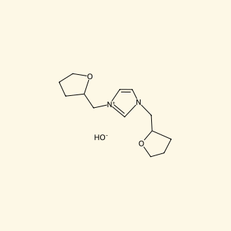 [OH-].c1c[n+](CC2CCCO2)cn1CC1CCCO1